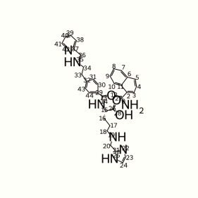 NCc1cccc2ccccc12.O=C(N[C@@H](CCCNCc1ncc[nH]1)C(=O)O)c1ccc(CCNCc2ccccn2)cc1